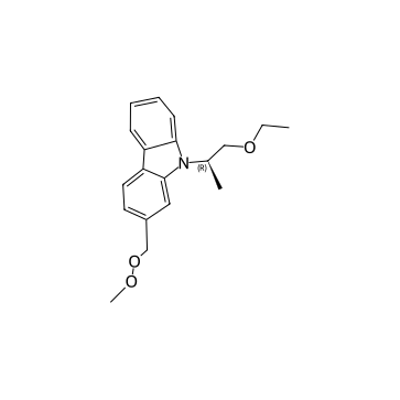 CCOC[C@@H](C)n1c2ccccc2c2ccc(COOC)cc21